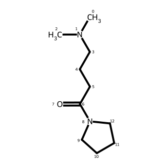 CN(C)CCCC(=O)N1CCCC1